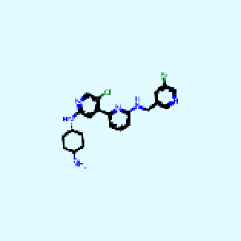 N[C@H]1CC[C@H](Nc2cc(-c3cccc(NCc4cncc(Br)c4)n3)c(Cl)cn2)CC1